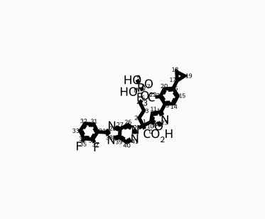 O=C(O)C(CCCOP(=O)(O)O)(c1cc(-c2ccc(C3CC3)cc2C(F)(F)F)no1)n1cc2nc(-c3cccc(F)c3F)nc-2cn1